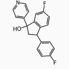 OC1(c2ccncc2)CC(c2ccc(F)cc2)c2ccc(F)cc21